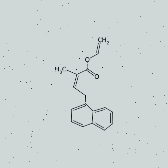 C=COC(=O)C(C)=CCc1cccc2ccccc12